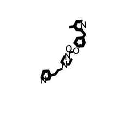 Cc1ccnc(Cc2ccc(OC(=O)N3CCN(CCCc4cccnc4)CC3)cc2)c1